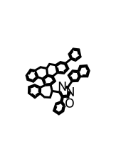 c1ccc(-c2ccc3c(c2)CC2Cc4ccccc4-c4c5c(cc-3c42)C(c2nc(-c3ccc4ccccc4c3)nc3oc4ccccc4c23)CCc2ccccc2-5)cc1